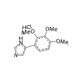 COc1ccc(-c2cnc[nH]2)c(OC)c1OC.Cl